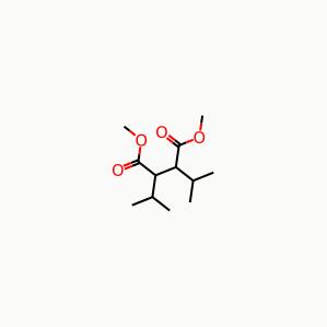 COC(=O)C(C(C)C)C(C(=O)OC)C(C)C